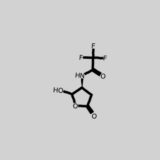 O=C1C[C@H](NC(=O)C(F)(F)F)C(O)O1